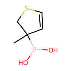 CC1(B(O)O)C=CSC1